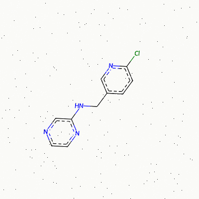 Clc1ccc(CNc2cnccn2)cn1